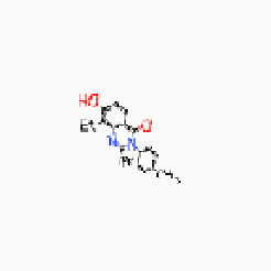 CCc1c(O)ccc2c(=O)n(-c3ccc(C)cc3)c(C(C)C)nc12